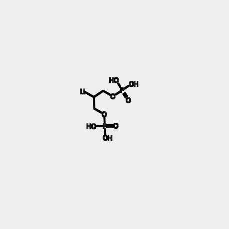 [Li][CH](COP(=O)(O)O)COP(=O)(O)O